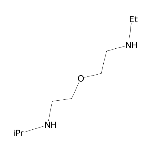 CCNCCOCCNC(C)C